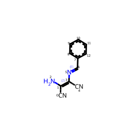 N#C/C(N)=C(C#N)/N=C/c1ccccc1